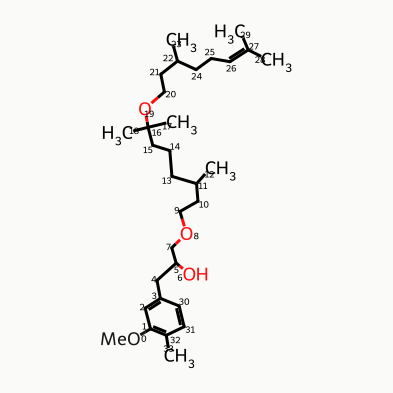 COc1cc(CC(O)COCCC(C)CCCC(C)(C)OCCC(C)CCC=C(C)C)ccc1C